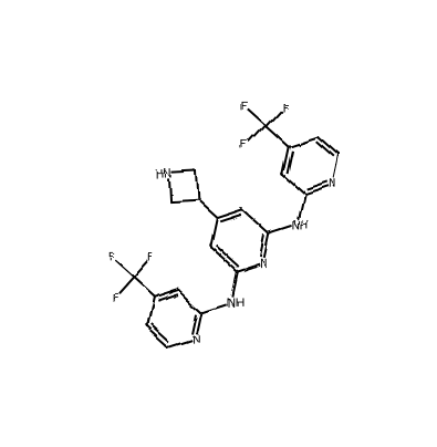 FC(F)(F)c1ccnc(Nc2cc(C3CNC3)cc(Nc3cc(C(F)(F)F)ccn3)n2)c1